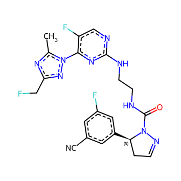 Cc1nc(CF)nn1-c1nc(NCCNC(=O)N2N=CC[C@H]2c2cc(F)cc(C#N)c2)ncc1F